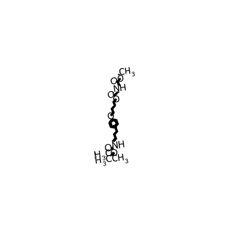 CCOC(=O)CNCC(=O)OCCCCOc1ccc(CCCCNC(=O)OC(C)(C)C)cc1